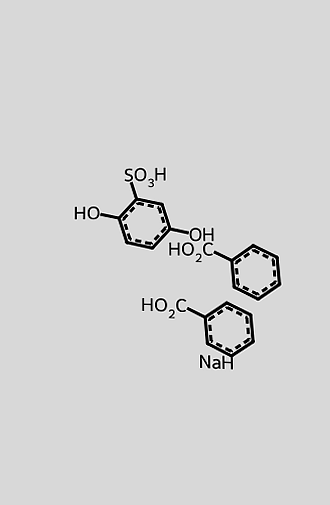 O=C(O)c1ccccc1.O=C(O)c1ccccc1.O=S(=O)(O)c1cc(O)ccc1O.[NaH]